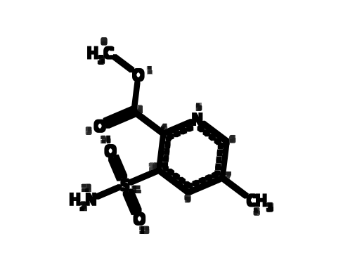 COC(=O)c1ncc(C)cc1S(N)(=O)=O